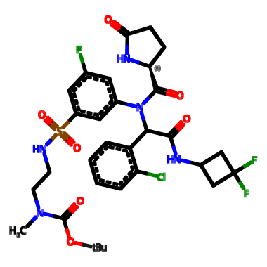 CN(CCNS(=O)(=O)c1cc(F)cc(N(C(=O)[C@@H]2CCC(=O)N2)C(C(=O)NC2CC(F)(F)C2)c2ccccc2Cl)c1)C(=O)OC(C)(C)C